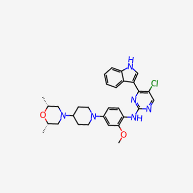 COc1cc(N2CCC(N3C[C@@H](C)O[C@@H](C)C3)CC2)ccc1Nc1ncc(Cl)c(-c2c[nH]c3ccccc23)n1